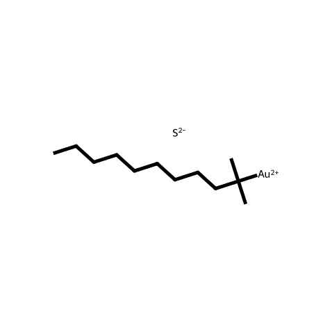 CCCCCCCCC[C](C)(C)[Au+2].[S-2]